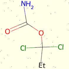 CCC(Cl)(Cl)OC(N)=O